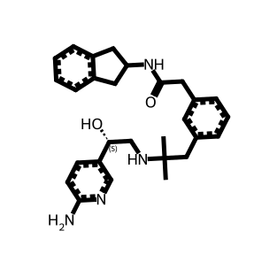 CC(C)(Cc1cccc(CC(=O)NC2Cc3ccccc3C2)c1)NC[C@@H](O)c1ccc(N)nc1